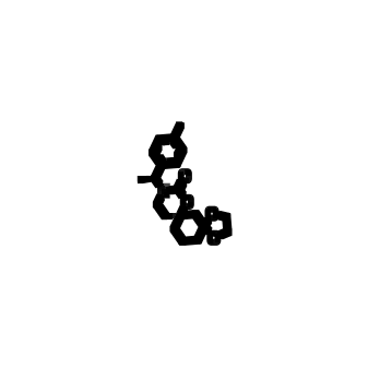 Cc1ccc([C@H](C)N2CC[C@]3(CCCC4(C3)OCCO4)OC2=O)cc1